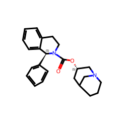 O=C(O[C@H]1CC2CCCN(C2)C1)N1CCc2ccccc2[C@@H]1c1ccccc1